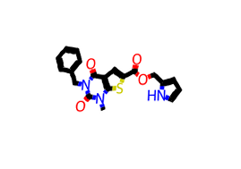 Cn1c(=O)n(Cc2ccccc2)c(=O)c2cc(C(=O)OCc3ccc[nH]3)sc21